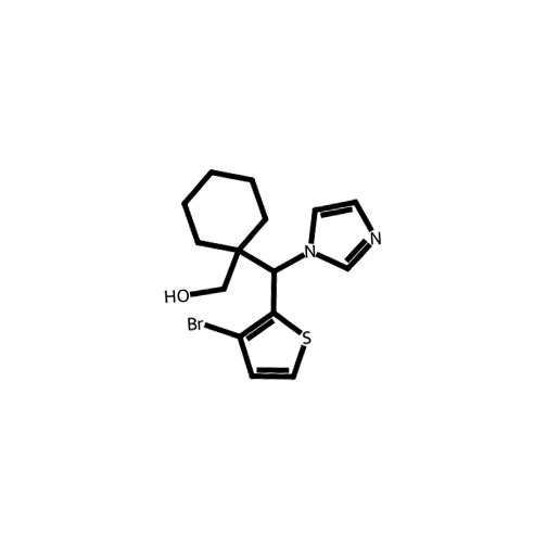 OCC1(C(c2sccc2Br)n2ccnc2)CCCCC1